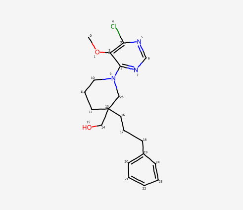 COc1c(Cl)ncnc1N1CCCC(CO)(CCCc2ccccc2)C1